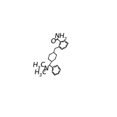 CN(C)C(c1ccccc1)C1CCC(Cc2ccccc2C(N)=O)CC1